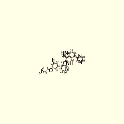 CN(C)CCOc1cc(F)cc(-c2ccnc3[nH]c(-c4n[nH]c5ccc(-c6cnccn6)cc45)cc23)c1